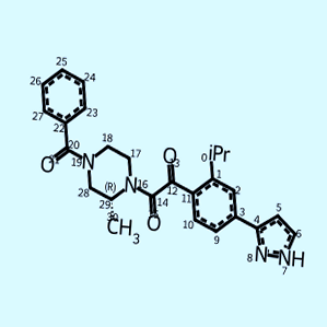 CC(C)c1cc(-c2cc[nH]n2)ccc1C(=O)C(=O)N1CCN(C(=O)c2ccccc2)C[C@H]1C